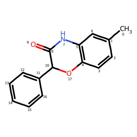 Cc1ccc2c(c1)NC(=O)C(c1ccccc1)O2